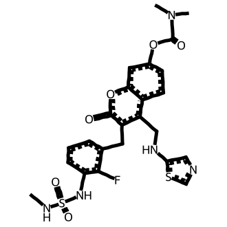 CNS(=O)(=O)Nc1cccc(Cc2c(CNc3cncs3)c3ccc(OC(=O)N(C)C)cc3oc2=O)c1F